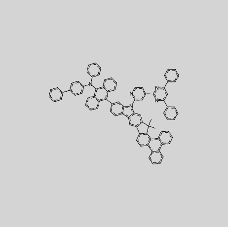 CC1(C)c2cc3c(cc2-c2ccc4c5ccccc5c5ccccc5c4c21)c1ccc(-c2c4ccccc4c(N(c4ccccc4)c4ccc(-c5ccccc5)cc4)c4ccccc24)cc1n3-c1cc(-c2nc(-c3ccccc3)cc(-c3ccccc3)n2)ccn1